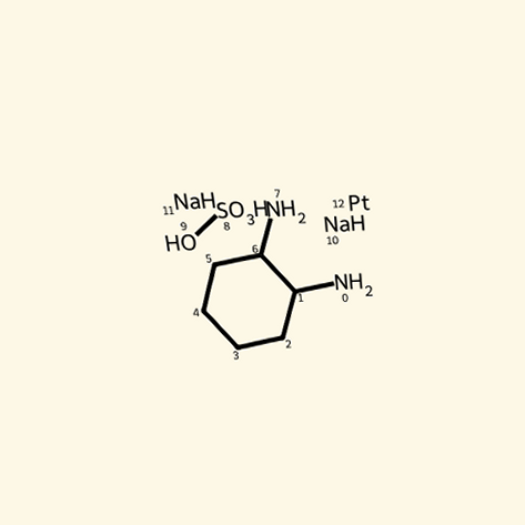 NC1CCCCC1N.O=S(=O)(O)O.[NaH].[NaH].[Pt]